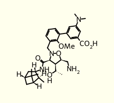 COc1c(CN2O[C@@H](CN)[C@@H]([C@H](C)O)[C@H]2C(=O)N[C@H]2C[C@H]3C[C@@H]([C@@H]2C)C3(C)C)cccc1-c1cc(C(=O)O)cc(N(C)C)c1